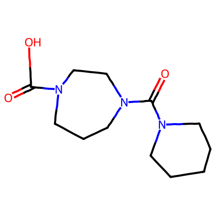 O=C(O)N1CCCN(C(=O)N2CCCCC2)CC1